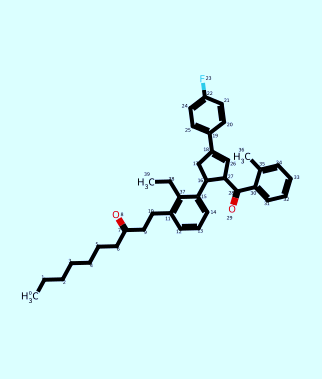 CCCCCCCC(=O)CCc1cccc(C2CC(c3ccc(F)cc3)=CC2C(=O)c2ccccc2C)c1CC